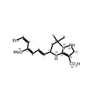 CC\C=C/C(=C\C=C\C1CC(C)(C)N2NCC(C(=O)O)=C2N1)OC